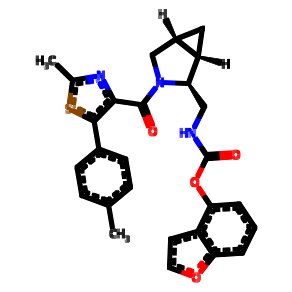 Cc1ccc(-c2sc(C)nc2C(=O)N2C[C@@H]3C[C@@H]3[C@H]2CNC(=O)Oc2cccc3occc23)cc1